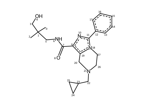 CC(C)(CO)CNC(=O)c1nc(-c2ccccc2)n2c1CN(CC1CC1)CC2